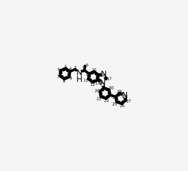 CC(NCc1ccccc1)c1ccc2c(c1)ncn2-c1cccc(-c2cccnc2)c1